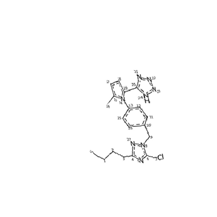 CCCCc1nc(Cl)n(Cc2ccc(-n3c(C)ccc3-c3nnn[nH]3)cc2)n1